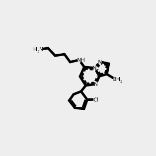 Bc1cnn2c(NCCCCN)cc(C3CC=CC=C3Cl)nc12